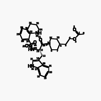 CC(=O)OCCC1CCN(C(=O)[C@H](Cc2c[nH]c3ccccc23)NS(=O)(=O)c2cccc3c2NCCC3)CC1